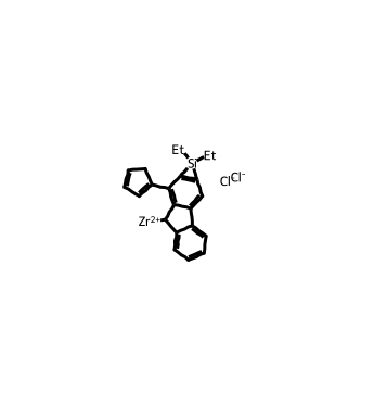 CC[Si]1(CC)c2cc3c(c(C4=CC=CC4)c21)[CH]([Zr+2])c1ccccc1-3.[Cl-].[Cl-]